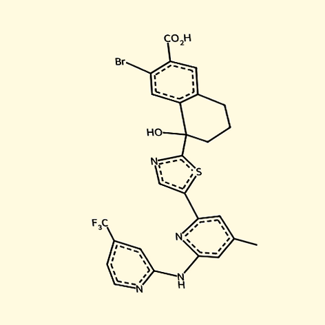 Cc1cc(Nc2cc(C(F)(F)F)ccn2)nc(-c2cnc(C3(O)CCCc4cc(C(=O)O)c(Br)cc43)s2)c1